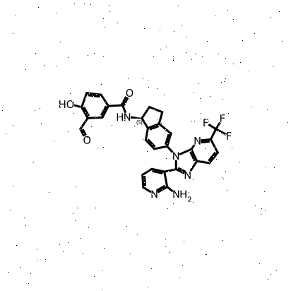 Nc1ncccc1-c1nc2ccc(C(F)(F)F)nc2n1-c1ccc2c(c1)CC[C@@H]2NC(=O)c1ccc(O)c(C=O)c1